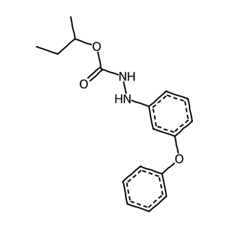 CCC(C)OC(=O)NNc1cccc(Oc2ccccc2)c1